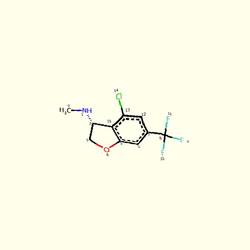 CN[C@H]1COc2cc(C(F)(F)F)cc(Cl)c21